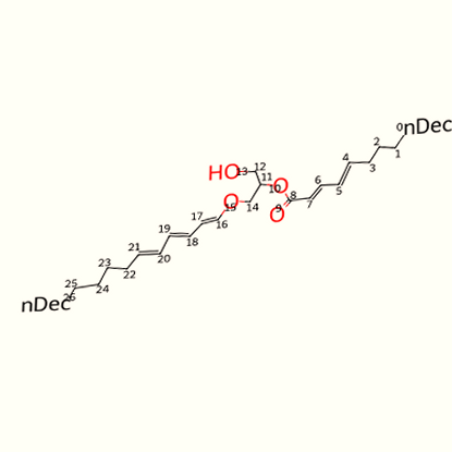 CCCCCCCCCCCCCC=CC=CC(=O)OC(CO)COC=CC=CC=CCCCCCCCCCCCCCC